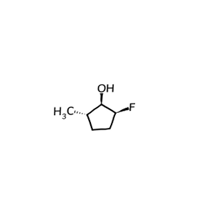 C[C@H]1CC[C@H](F)[C@@H]1O